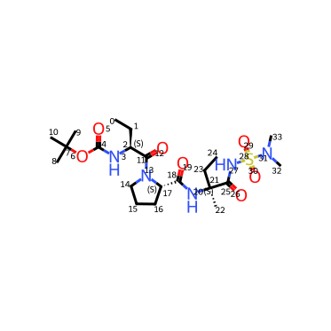 CC[C@H](NC(=O)OC(C)(C)C)C(=O)N1CCC[C@H]1C(=O)N[C@@](C)(CC)C(=O)NS(=O)(=O)N(C)C